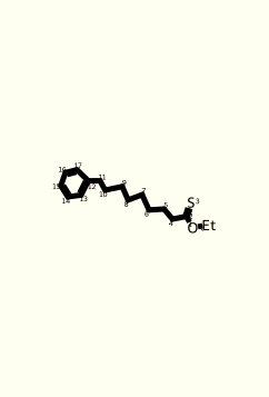 CCOC(=S)CCCCCCCCc1ccccc1